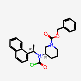 C[C@H](c1cccc2ccccc12)N(C(=O)Cl)[C@H]1CCCN(C(=O)OCc2ccccc2)C1